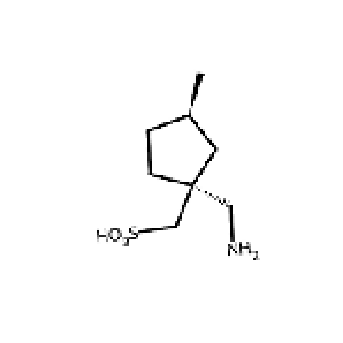 C[C@@H]1CC[C@](CN)(CS(=O)(=O)O)C1